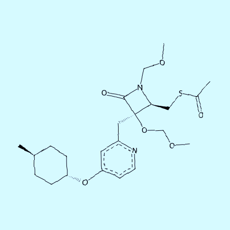 COCO[C@@]1(Cc2cc(O[C@H]3CC[C@H](C)CC3)ccn2)C(=O)N(COC)[C@H]1CSC(C)=O